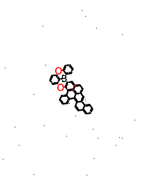 c1ccc2c(c1)Oc1cccc3c1B2c1cccc(-c2ccccc2-c2c4ccccc4cc4c2ccc2ccccc24)c1O3